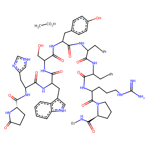 CC(=O)O.CCNC(=O)[C@@H]1CCCN1C(=O)C(CCCNC(=N)N)NC(=O)C(CC(C)C)NC(=O)C(CC(C)C)NC(=O)C(Cc1ccc(O)cc1)NC(=O)C(CO)NC(=O)C(Cc1c[nH]c2ccccc12)NC(=O)C(Cc1c[nH]cn1)NC(=O)[C@@H]1CCC(=O)N1